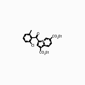 CCOC(=O)c1ccc2c(C(=O)OCC)cc(C(=O)c3c(C)cccc3Cl)n2c1